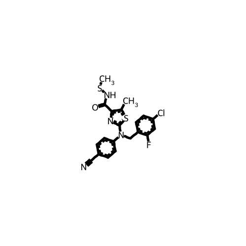 CSNC(=O)c1nc(N(Cc2ccc(Cl)cc2F)c2ccc(C#N)cc2)sc1C